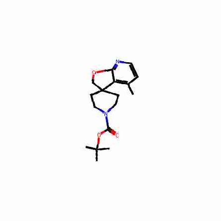 Cc1ccnc2c1C1(CCN(C(=O)OC(C)(C)C)CC1)CO2